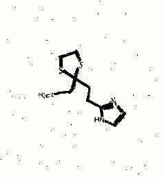 CCCCCCCCCC1(CCc2ncc[nH]2)SCCS1